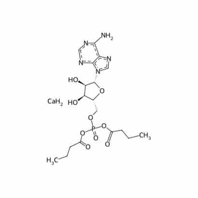 CCCC(=O)OP(=O)(OC[C@H]1O[C@@H](n2cnc3c(N)ncnc32)[C@H](O)[C@@H]1O)OC(=O)CCC.[CaH2]